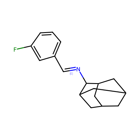 Fc1cccc(/C=N/C2C3CC4CC(C3)CC2C4)c1